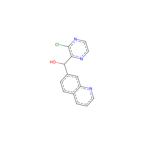 OC(c1ccc2cccnc2c1)c1nccnc1Cl